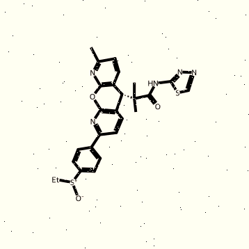 CC[S+]([O-])c1ccc(-c2ccc3c(n2)Oc2nc(C)ccc2[C@@H]3C(C)(C)C(=O)Nc2nncs2)cc1